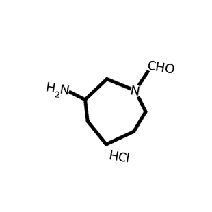 Cl.NC1CCCCN(C=O)C1